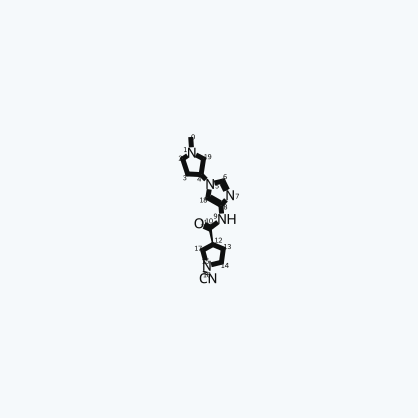 CN1CCC(n2cnc(NC(=O)[C@H]3CCN(C#N)C3)c2)C1